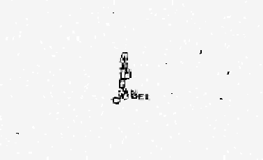 CCc1ccc(C(COc2ccc(CC3SC(=O)CC3=O)cc2)OC(=O)c2ccccc2)nc1